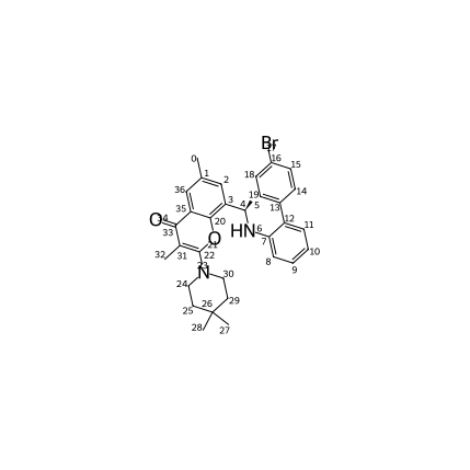 Cc1cc([C@@H](C)Nc2ccccc2-c2ccc(Br)cc2)c2oc(N3CCC(C)(C)CC3)c(C)c(=O)c2c1